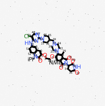 CNC(=O)COc1cc2cc(Nc3nc(N4CCC(CN5CCN(c6ccc7c(c6C)C(=O)N(C6CCC(=O)NC6=O)C7=O)CC5)CC4)ncc3Cl)ccc2n(C(C)C)c1=O